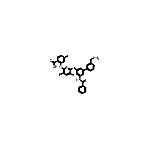 Cc1ccc(C(=O)O)c(Oc2nc(Oc3cc(NC(=O)c4ccccc4)cc(-c4cccc(CN)c4)c3)c(F)cc2F)c1